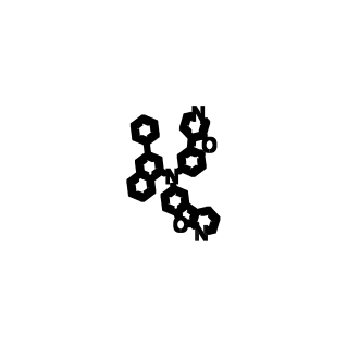 c1ccc(-c2cc(N(c3ccc4oc5cnccc5c4c3)c3ccc4oc5ncccc5c4c3)c3ccccc3c2)cc1